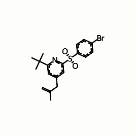 C=C(C)Cc1cc(C(C)(C)C)nc(S(=O)(=O)c2ccc(Br)cc2)c1